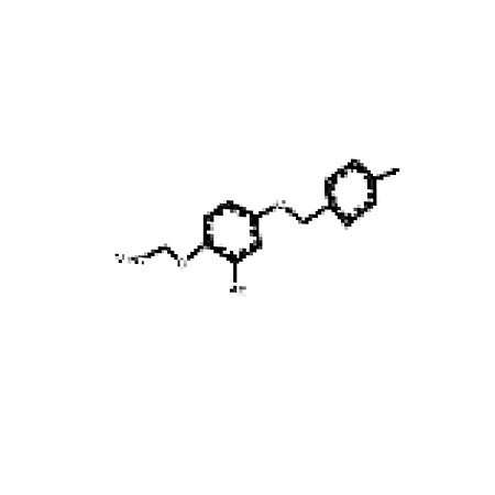 COCOc1ccc(OCc2ccc(C)cc2)cc1C(C)=O